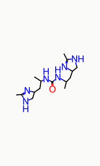 CC1=NC(CC(C)NC(=O)NC(C)CC2CNC(C)=N2)CN1